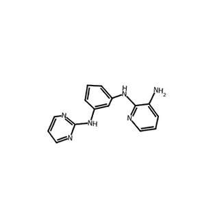 Nc1cccnc1Nc1cccc(Nc2ncccn2)c1